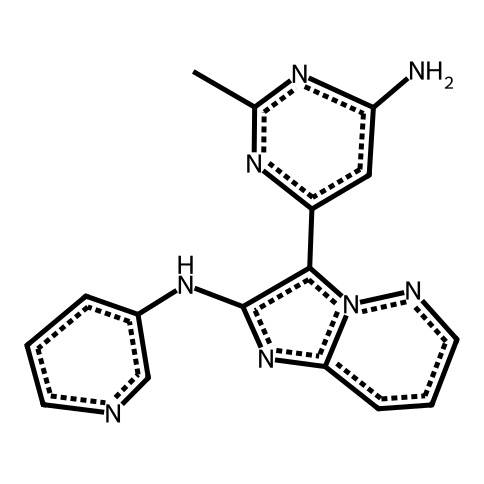 Cc1nc(N)cc(-c2c(Nc3cccnc3)nc3cccnn23)n1